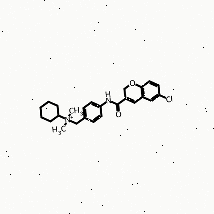 C[N+](C)(Cc1ccc(NC(=O)C2=Cc3cc(Cl)ccc3OC2)cc1)C1CCCCC1